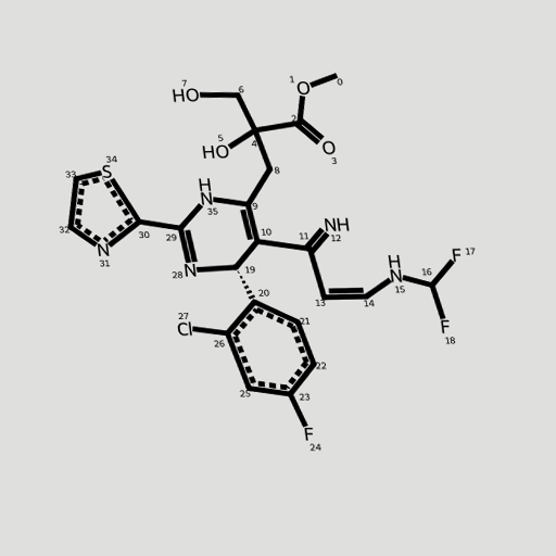 COC(=O)C(O)(CO)CC1=C(C(=N)/C=C\NC(F)F)[C@H](c2ccc(F)cc2Cl)N=C(c2nccs2)N1